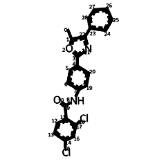 Cc1oc(-c2ccc(NC(=O)c3ccc(Cl)cc3Cl)cc2)nc1-c1ccccc1